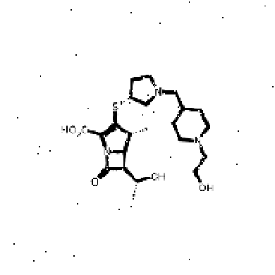 C[C@H]1C(S[C@@H]2CCN(CC3CCN(CCO)CC3)C2)=C(C(=O)O)N2C(=O)[C@H]([C@@H](C)O)C12